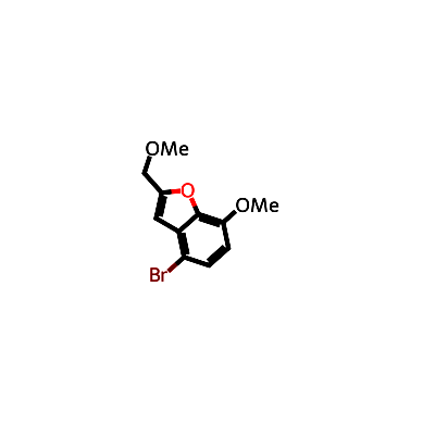 COCc1cc2c(Br)ccc(OC)c2o1